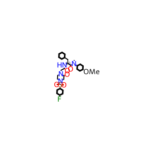 COc1ccc(N(C)C(=O)[C@H](Cc2ccccc2)NC(=O)CN2CCN(S(=O)(=O)c3ccc(F)cc3)CC2=O)cc1